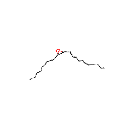 CCCCCCCCCC1OC1CCCCCCCCC